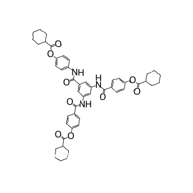 O=C(Nc1cc(NC(=O)c2ccc(OC(=O)C3CCCCC3)cc2)cc(C(=O)Nc2ccc(OC(=O)C3CCCCC3)cc2)c1)c1ccc(OC(=O)C2CCCCC2)cc1